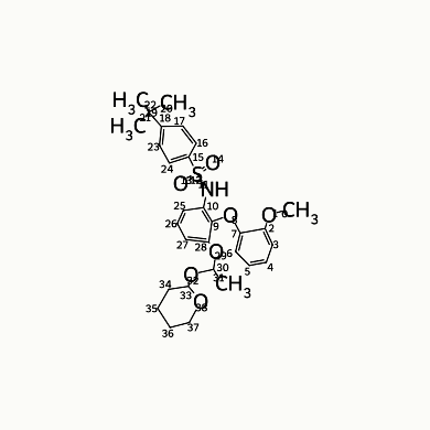 COc1ccccc1Oc1c(NS(=O)(=O)c2ccc(C(C)(C)C)cc2)cccc1OC(C)OC1CCCCO1